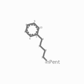 CCCCCC[CH]CCc1ccccc1